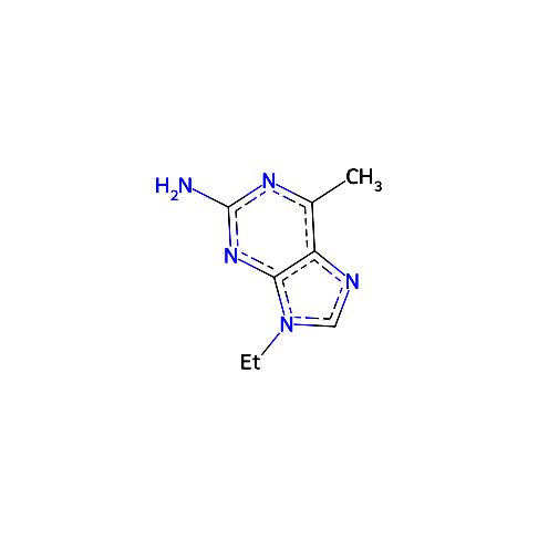 CCn1cnc2c(C)nc(N)nc21